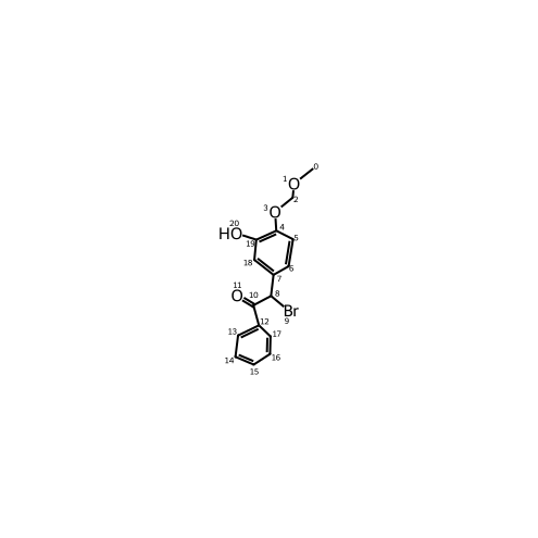 COCOc1ccc(C(Br)C(=O)c2ccccc2)cc1O